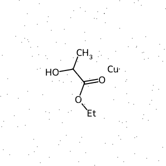 CCOC(=O)C(C)O.[Cu]